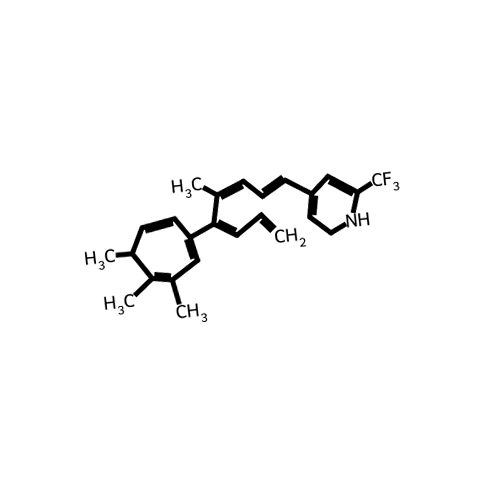 C=C\C=C(C1=CC(C)=C(C)C(C)C=C1)/C(C)=C\C=C\C1=CCNC(C(F)(F)F)=C1